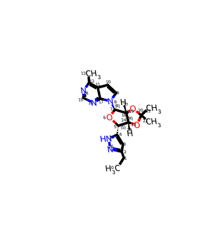 CCc1cc([C@@H]2O[C@@H](n3ccc4c(C)ncnc43)[C@@H]3OC(C)(C)O[C@@H]32)[nH]n1